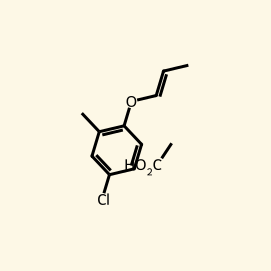 CC(=O)O.CC=COc1ccc(Cl)cc1C